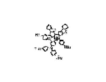 CC(C)(C)c1ccc(Nc2cc3sc4ccccc4c3cc2-c2c3c4c(c5cc(C(C)(C)C)ccc5n4-c4cc(N(c5ccc(C(C)(C)C)cc5)c5ccc(C(C)(C)C)cc5)ccc4B3)c3c2oc2ccccc23)cc1